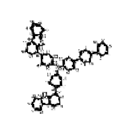 c1ccc(-c2ccc(-c3ccc(N(c4ccc(-c5cccc6c5oc5ccccc56)cc4)c4ccc(-c5cccc6c5sc5ccccc56)cc4)cc3)cc2)cc1